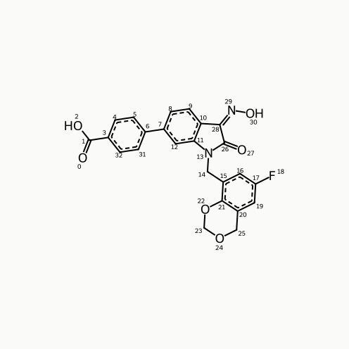 O=C(O)c1ccc(-c2ccc3c(c2)N(Cc2cc(F)cc4c2OCOC4)C(=O)/C3=N\O)cc1